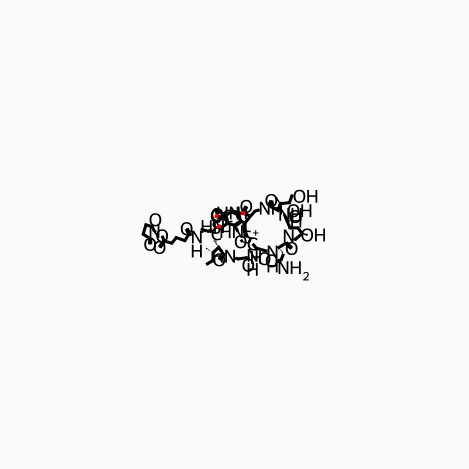 CC[C@H](C)[C@@H]1CCNC(=O)CNC(=O)[C@@H]2CNC(=O)[C@H]([C@@H](C)[C@@H](O)CO)NC(=O)[C@H]3C[C@@H](O)CN3C(=O)[C@H](CC(N)=O)NC(=O)[C@@H](C[S+]([O-])c3[nH]c4c(CSCCNC(=O)CCCC(=O)ON5C(=O)CCC5=O)c(OC)ccc4c32)NC(=O)CNC1=O